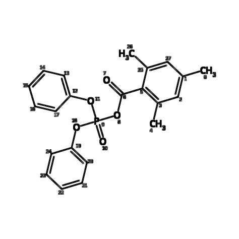 Cc1cc(C)c(C(=O)OP(=O)(Oc2ccccc2)Oc2ccccc2)c(C)c1